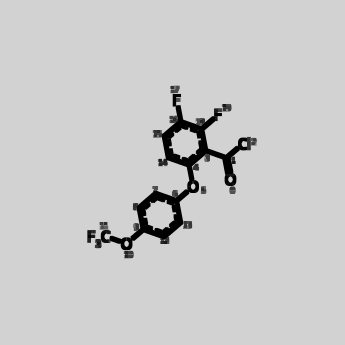 O=C(Cl)c1c(Oc2ccc(OC(F)(F)F)cc2)ccc(F)c1F